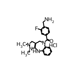 CN1CC2=C(Nc3ccccc3N(C(=O)c3ccc(CN)c(F)c3)C2)N1C.Cl